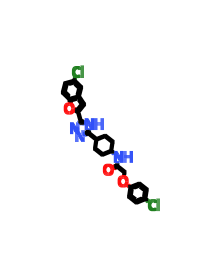 O=C(COc1ccc(Cl)cc1)NC1CCC(c2nnc(-c3cc4cc(Cl)ccc4o3)[nH]2)CC1